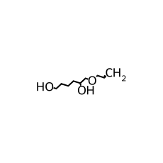 C=CCOCC(O)CCCCO